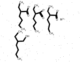 CCCCC(CC)C(=O)[O-].CCCCC(CC)C(=O)[O-].CCCCC(CC)C(=O)[O-].CCCCC(CC)CO.[Bi+3]